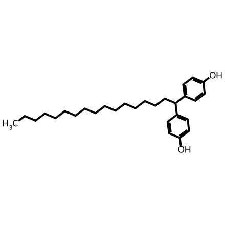 CCCCCCCCCCCCCCCCC(c1ccc(O)cc1)c1ccc(O)cc1